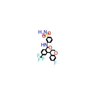 NS(=O)(=O)c1cccc(NC(=O)c2ccc(C(F)(F)F)cc2C2CCOc3cc(F)ccc32)c1